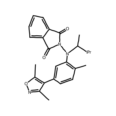 Cc1ccc(-c2c(C)noc2C)cc1N(C(C)C(C)C)N1C(=O)c2ccccc2C1=O